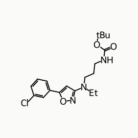 CCN(CCCNC(=O)OC(C)(C)C)c1cc(-c2cccc(Cl)c2)on1